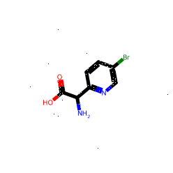 NC(C(=O)O)c1ccc(Br)cn1